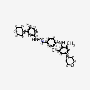 Cc1cc(N2CCOCC2)cc(Cl)c1Nc1ccc(/C=N/Nc2ncc(F)c(N3CCOCC3)n2)nc1